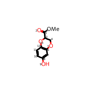 COC(=O)C1COc2cc(O)ccc2O1